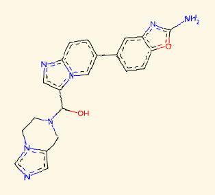 Nc1nc2cc(-c3ccc4ncc(C(O)N5CCn6cncc6C5)n4c3)ccc2o1